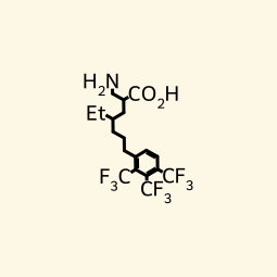 CCC(CCCc1ccc(C(F)(F)F)c(C(F)(F)F)c1C(F)(F)F)CC(CN)C(=O)O